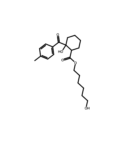 Cc1ccc(C(=O)C2(O)CCCCC2C(=O)OCCCCCCO)cc1